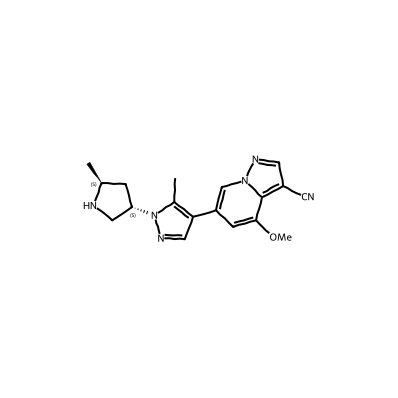 COc1cc(-c2cnn([C@@H]3CN[C@@H](C)C3)c2C)cn2ncc(C#N)c12